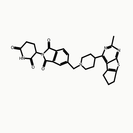 Cc1nc(C2CCN(Cc3ccc4c(c3)C(=O)N(C3CCC(=O)NC3=O)C4=O)CC2)c2c3c(sc2n1)CCC3